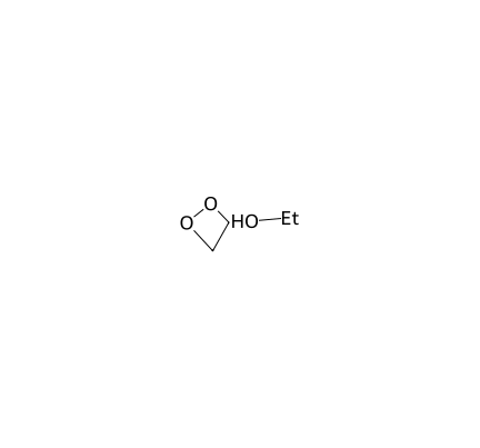 C1COO1.CCO